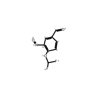 O=Cc1ccc(OC(F)F)c(N=O)c1